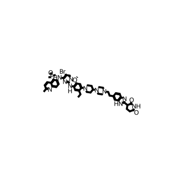 CCc1cc(Nc2ncc(Br)c(Nc3ccc4nc(C)ccc4c3P(C)(C)=O)n2)c(OC)cc1N1CCC(N2CCN(CCc3ccc4nc(C5CCC(=O)NC5=O)[nH]c4c3)CC2)CC1